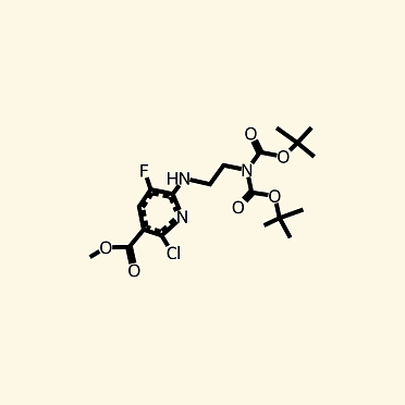 COC(=O)c1cc(F)c(NCCN(C(=O)OC(C)(C)C)C(=O)OC(C)(C)C)nc1Cl